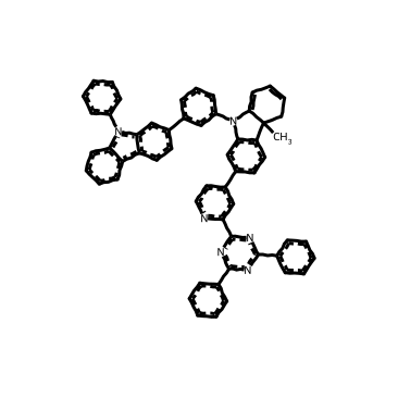 CC12CC=CC=C1N(c1cccc(-c3ccc4c5ccccc5n(-c5ccccc5)c4c3)c1)c1cc(-c3ccnc(-c4nc(-c5ccccc5)nc(-c5ccccc5)n4)c3)ccc12